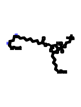 CCCCC/C=C\C/C=C\CCCCCCCC(=O)OC[C@H](COP(=O)(O)OCC[N+](C)(C)C)OC(=O)CCCCCCCCCCCCCCC